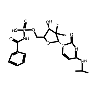 CC(C)Nc1ccn([C@@H]2OC(COP(=O)(S)NC(=O)c3ccccc3)[C@@H](O)C2(F)F)c(=O)n1